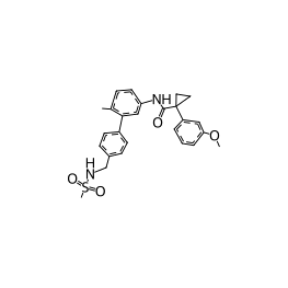 COc1cccc(C2(C(=O)Nc3ccc(C)c(-c4ccc(CNS(C)(=O)=O)cc4)c3)CC2)c1